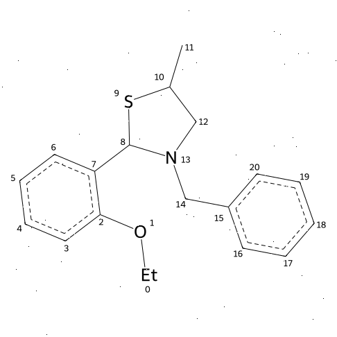 CCOc1ccccc1C1SC(C)CN1Cc1ccccc1